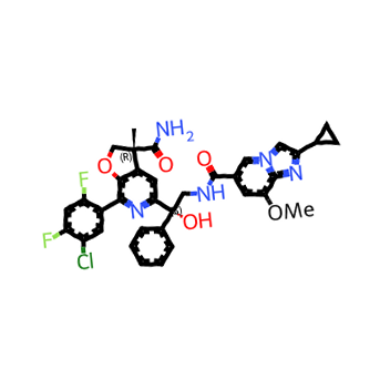 COc1cc(C(=O)NC[C@@](O)(c2ccccc2)c2cc3c(c(-c4cc(Cl)c(F)cc4F)n2)OC[C@]3(C)C(N)=O)cn2cc(C3CC3)nc12